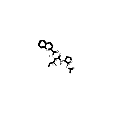 CC[C@H](C)[C@H](NC(=O)c1ccc2ccccc2n1)C(=O)N[C@H]1CCO[C@H]1OC(C)=O